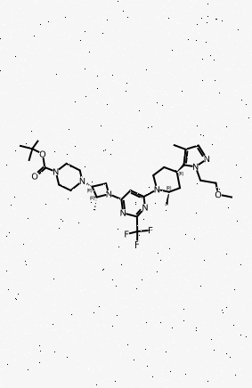 COCCn1ncc(C)c1[C@@H]1CCN(c2cc(N3C[C@@H](N4CCN(C(=O)OC(C)(C)C)CC4)[C@H]3C)nc(C(F)(F)F)n2)[C@H](C)C1